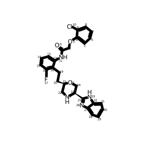 O=C(COc1ccccc1Cl)Nc1cccc(F)c1CC[C@@H]1CN[C@H](c2nc3ccccc3[nH]2)CO1